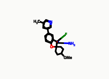 COC1CCC2(CC1)Oc1ccc(-c3cncc(C)c3)cc1C21C=C(F)C(N)=N1